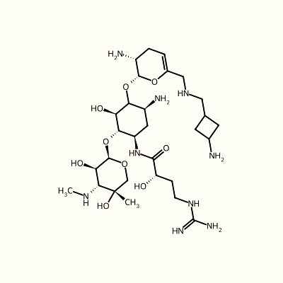 CN[C@@H]1[C@@H](O)[C@@H](O[C@H]2[C@H](NC(=O)[C@@H](O)CCNC(=N)N)C[C@H](N)C(O[C@H]3OC(CNCC4CC(N)C4)=CC[C@H]3N)[C@@H]2O)OC[C@]1(C)O